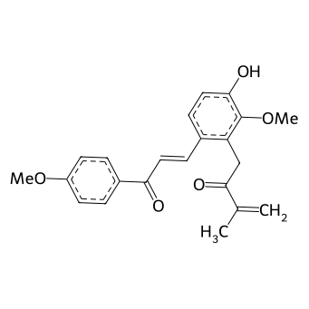 C=C(C)C(=O)Cc1c(/C=C/C(=O)c2ccc(OC)cc2)ccc(O)c1OC